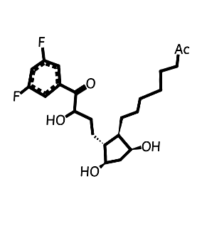 CC(=O)CCCCCC[C@@H]1[C@@H](CCC(O)C(=O)c2cc(F)cc(F)c2)[C@H](O)C[C@@H]1O